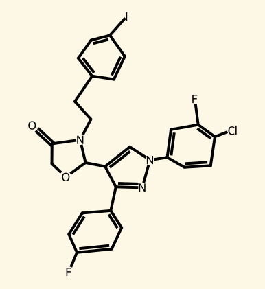 O=C1COC(c2cn(-c3ccc(Cl)c(F)c3)nc2-c2ccc(F)cc2)N1CCc1ccc(I)cc1